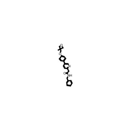 CC1(COc2ccc(-c3ccc(CC(=O)NCc4ccccc4)nc3)cc2)COC1